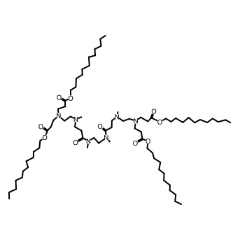 CCCCCCCCCCCCOC(=O)CCN(CCC(=O)OCCCCCCCCCCCC)CCN(C)CCC(=O)N(C)CCN(C)C(=O)CCN(C)CCN(CCC(=O)OCCCCCCCCCCCC)CCC(=O)OCCCCCCCCCCCC